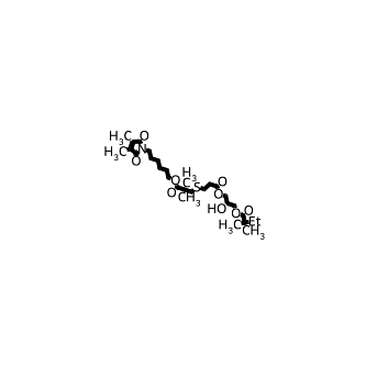 CCC(C)(C)C(=O)OCC(O)COC(=O)CCSCC(C)(C)C(=O)OCCCCCCN1C(=O)C(C)=C(C)C1=O